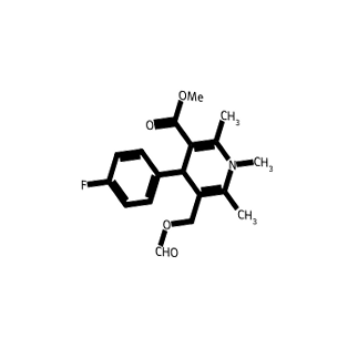 COC(=O)C1=C(C)N(C)C(C)=C(COC=O)C1c1ccc(F)cc1